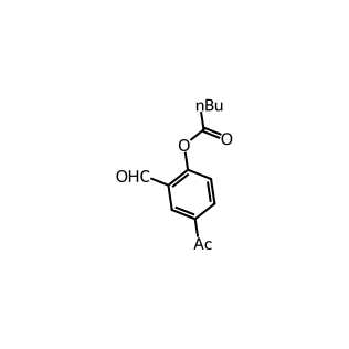 [CH2]CCCC(=O)Oc1ccc(C(C)=O)cc1C=O